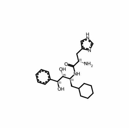 N[C@@H](Cc1c[nH]cn1)C(=O)N[C@@H](CC1CCCCC1)[C@@H](O)[C@@H](O)c1ccccc1